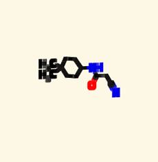 CC1(C)CCC(NC(=O)CC#N)CC1